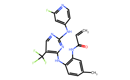 C=CC(=O)Nc1cc(C)ccc1Nc1nc(Nc2ccnc(F)c2)ncc1C(F)(F)F